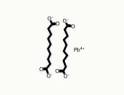 O=C([O-])CCCCCCCCC(=O)[O-].O=C([O-])CCCCCCCCC(=O)[O-].[Pb+4]